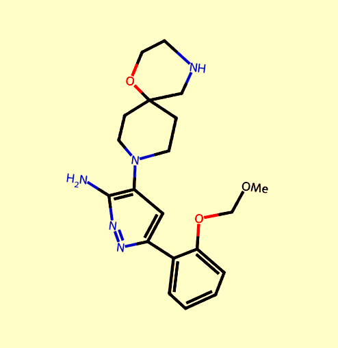 COCOc1ccccc1-c1cc(N2CCC3(CC2)CNCCO3)c(N)nn1